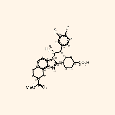 COC(=O)N1CCc2ccc3c(nc(N4CCC(C(=O)O)CC4)n3[C@H](C)Cc3ccc(F)c(F)c3)c2C1